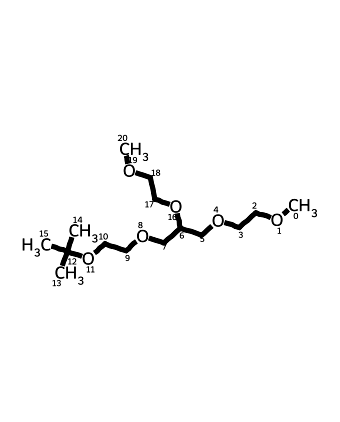 COCCOCC(COCCOC(C)(C)C)OCCOC